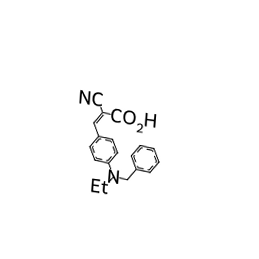 CCN(Cc1ccccc1)c1ccc(C=C(C#N)C(=O)O)cc1